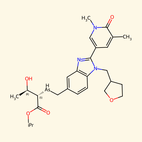 Cc1cc(-c2nc3cc(C[AsH][C@H](C(=O)OC(C)C)[C@@H](C)O)ccc3n2CC2CCOC2)cn(C)c1=O